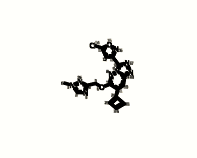 Cn1cnc(COc2nn3c(-c4cc(Cl)on4)nnc3cc2C2=CC=C2)n1